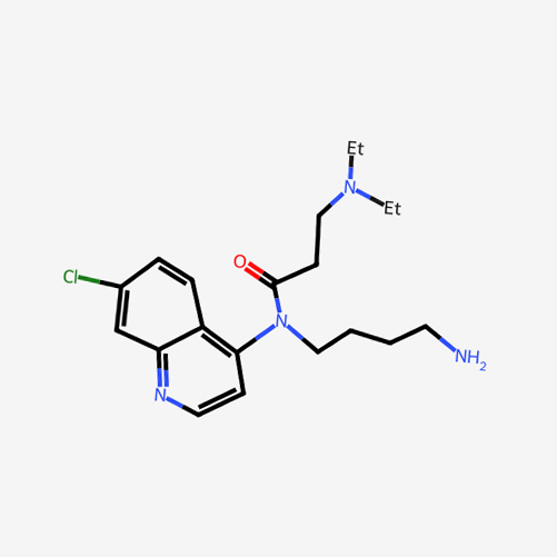 CCN(CC)CCC(=O)N(CCCCN)c1ccnc2cc(Cl)ccc12